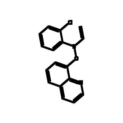 C=CB(Oc1cccc2cccnc12)c1ccccc1Cl